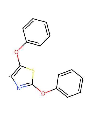 [c]1nc(Oc2ccccc2)sc1Oc1ccccc1